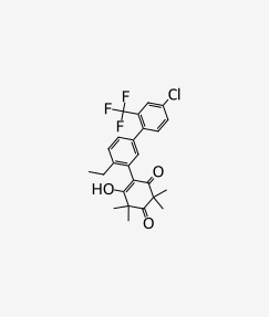 CCc1ccc(-c2ccc(Cl)cc2C(F)(F)F)cc1C1=C(O)C(C)(C)C(=O)C(C)(C)C1=O